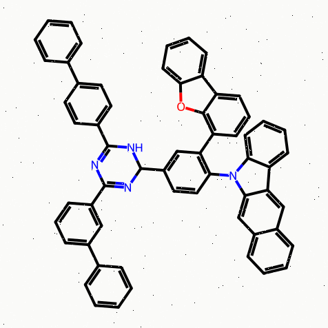 c1ccc(-c2ccc(C3=NC(c4cccc(-c5ccccc5)c4)=NC(c4ccc(-n5c6ccccc6c6cc7ccccc7cc65)c(-c5cccc6c5oc5ccccc56)c4)N3)cc2)cc1